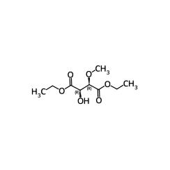 CCOC(=O)[C@H](O)[C@@H](OC)C(=O)OCC